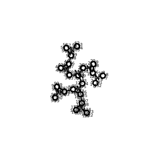 c1ccc(N(c2ccccc2)c2ccc3c(c2)c2ccccc2n3-c2cccc(-c3nc(-c4cccc(-n5c6ccccc6c6cc(-c7ccc8c(c7)c7ccccc7n8-c7ccccc7)ccc65)c4)cc(-c4cccc(-n5c6ccc(-c7ccc8c(c7)c7ccccc7n8-c7ccccc7)cc6c6cc(-c7ccc8c(c7)c7ccccc7n8-c7ccccc7)ccc65)c4)n3)c2)cc1